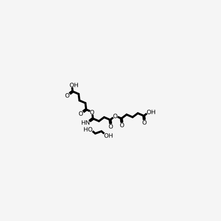 N=C(CCC(=O)OC(=O)CCCC(=O)O)OC(=O)CCCC(=O)O.OCCO